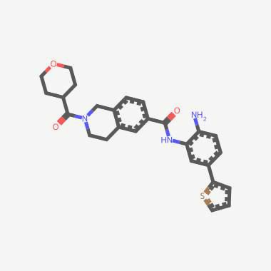 Nc1ccc(-c2cccs2)cc1NC(=O)c1ccc2c(c1)CCN(C(=O)C1CCOCC1)C2